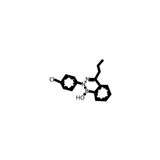 CCCC1=NN(c2ccc(Cl)cc2)B(O)c2ccccc21